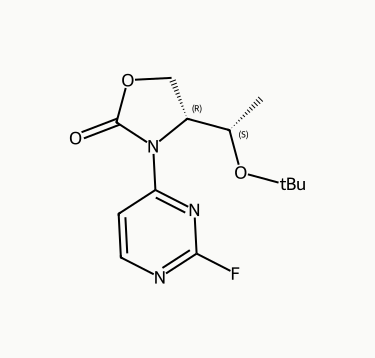 C[C@H](OC(C)(C)C)[C@H]1COC(=O)N1c1ccnc(F)n1